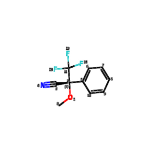 CO[C@@](C#N)(c1ccccc1)C(F)(F)F